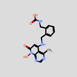 Cc1ncnc2c1c(NCc1ccccc1CNC(=O)O)cc(=O)n2O